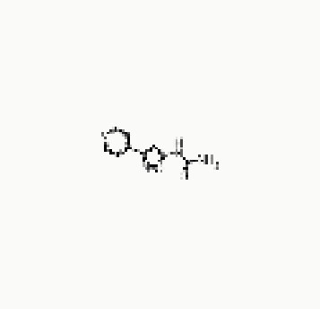 NC(=O)Nc1cc(-c2ccncc2)no1